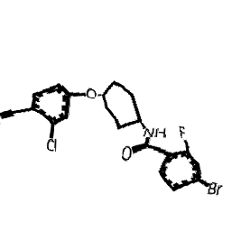 N#Cc1ccc(O[C@H]2CC[C@H](NC(=O)c3ccc(Br)cc3F)CC2)cc1Cl